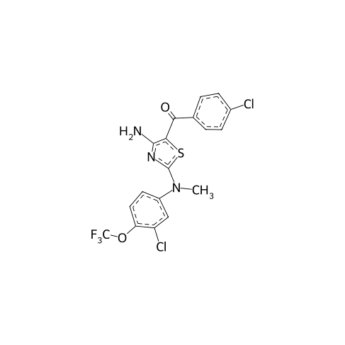 CN(c1ccc(OC(F)(F)F)c(Cl)c1)c1nc(N)c(C(=O)c2ccc(Cl)cc2)s1